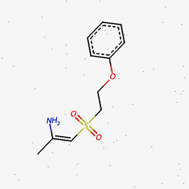 CC(N)=CS(=O)(=O)CCOc1ccccc1